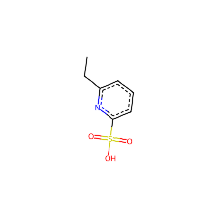 CCc1cccc(S(=O)(=O)O)n1